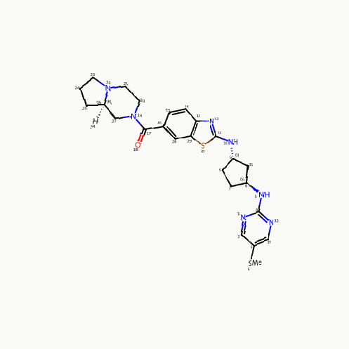 CSc1cnc(N[C@H]2CC[C@H](Nc3nc4ccc(C(=O)N5CCN6CCC[C@@H]6C5)cc4s3)C2)nc1